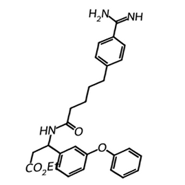 CCOC(=O)CC(NC(=O)CCCCc1ccc(C(=N)N)cc1)c1cccc(Oc2ccccc2)c1